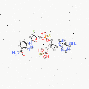 NC(=O)c1cccc2c1nnn2[C@H]1C[C@H](F)[C@@H](COP(O)(=S)OC[C@@H]2[C@@H](COP(O)(O)=S)C[C@H]2n2cnc3c(N)ncnc32)O1